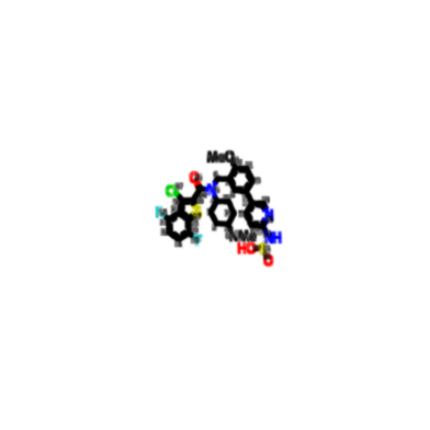 CNC1CCC(N(Cc2cc(-c3ccc(NS(=O)O)nc3)ccc2OC)C(=O)c2sc3c(F)ccc(F)c3c2Cl)CC1